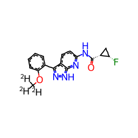 [2H]C([2H])([2H])Oc1ccccc1-c1n[nH]c2nc(NC(=O)[C@@H]3C[C@@H]3F)ccc12